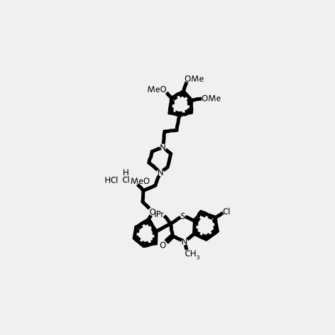 COc1cc(CCN2CCN(CC(COc3ccccc3C3(C(C)C)Sc4cc(Cl)ccc4N(C)C3=O)OC)CC2)cc(OC)c1OC.Cl.Cl